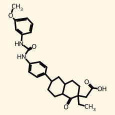 CCC1(CC(=O)O)CCC2CC(c3ccc(NC(=O)Nc4cccc(OC)c4)cc3)CCC2C1=O